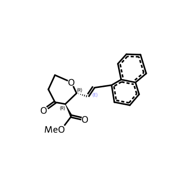 COC(=O)[C@H]1C(=O)CCO[C@@H]1/C=C/c1cccc2ccccc12